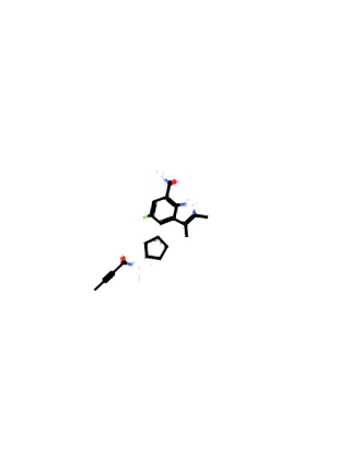 CC#CC(=O)N[C@H]1CC[C@@H](c2c(F)cc(C(N)=O)c3[nH]c(C)c(C)c23)C1